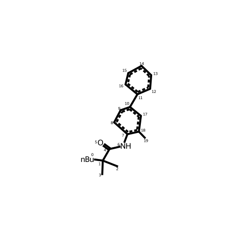 CCCCC(C)(C)C(=O)Nc1ccc(-c2ccccc2)cc1C